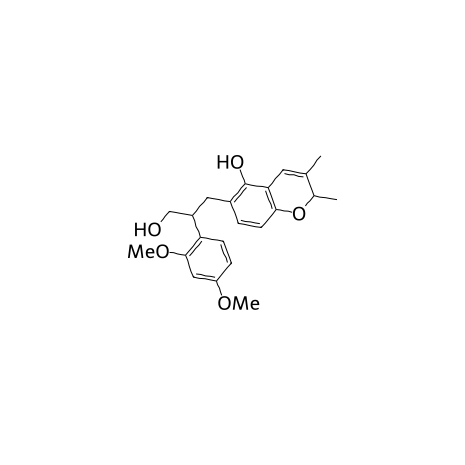 COc1ccc(C(CO)Cc2ccc3c(c2O)C=C(C)C(C)O3)c(OC)c1